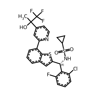 CC(O)(c1ccnc(-c2cccc3cc([C@H](NS(=O)(=O)C4CC4)c4c(F)cccc4Cl)sc23)c1)C(F)(F)F